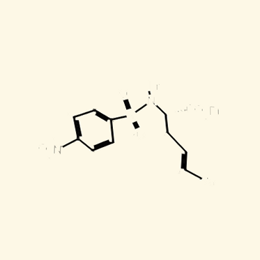 CCOC(=O)[C@H](C/C=C/C(C)=O)N(C(C)C)S(=O)(=O)c1ccc([N+](=O)[O-])cc1